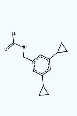 CCC(=O)NCc1cc(C2CC2)cc(C2CC2)c1